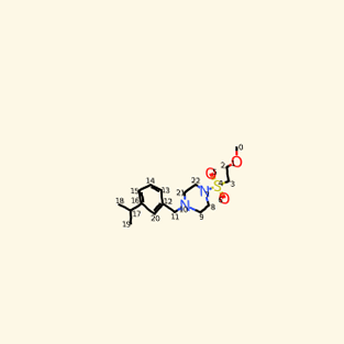 COCCS(=O)(=O)N1CCN(Cc2cccc(C(C)C)c2)CC1